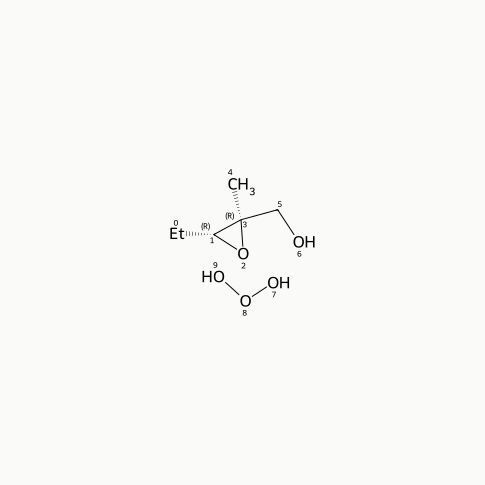 CC[C@H]1O[C@]1(C)CO.OOO